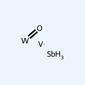 [O]=[W].[SbH3].[V]